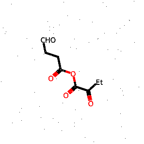 CCC(=O)C(=O)OC(=O)CCC=O